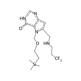 C[Si](C)(C)CCOCn1c(CNCCC(F)(F)F)cc2nc[nH]c(=O)c21